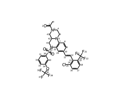 CC(=O)N1CCN2c3ccc(/C=C/c4c(Cl)cccc4C(F)(F)F)cc3N(S(=O)(=O)c3cccc(OC(F)(F)F)c3)CC2C1